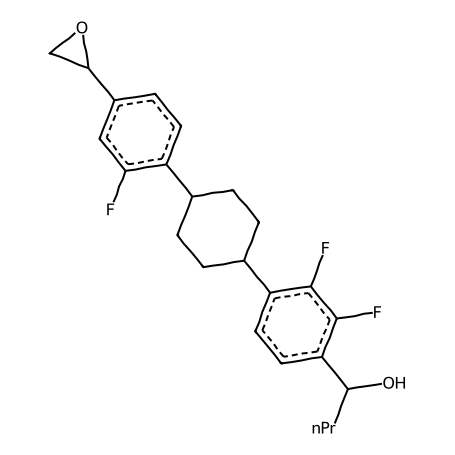 CCCC(O)c1ccc(C2CCC(c3ccc(C4CO4)cc3F)CC2)c(F)c1F